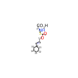 O=C(O)CNSC(=O)OC/C=C/c1ccccc1